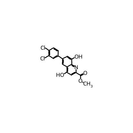 COC(=O)c1cc(O)c2cc(-c3ccc(Cl)c(Cl)c3)cc(O)c2n1